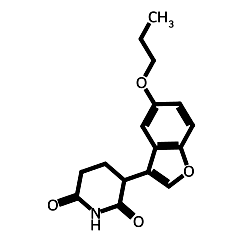 CCCOc1ccc2occ(C3CCC(=O)NC3=O)c2c1